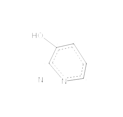 Oc1cccnc1.[N]